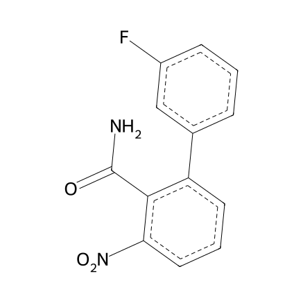 NC(=O)c1c(-c2cccc(F)c2)cccc1[N+](=O)[O-]